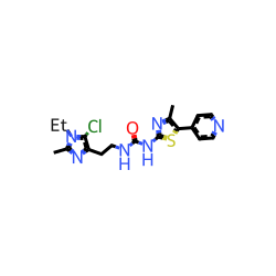 CCn1c(C)nc(CCNC(=O)Nc2nc(C)c(-c3ccncc3)s2)c1Cl